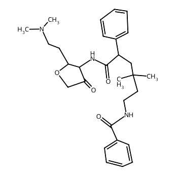 CN(C)CCC1OCC(=O)C1NC(=O)C(CC(C)(C)CCNC(=O)c1ccccc1)c1ccccc1